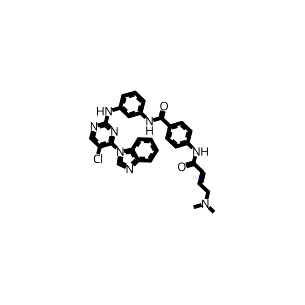 CN(C)C/C=C/C(=O)Nc1ccc(C(=O)Nc2cccc(Nc3ncc(Cl)c(-n4cnc5ccccc54)n3)c2)cc1